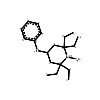 CCC1(CC)CC(Oc2ccccc2)CC(CC)(CC)N1O